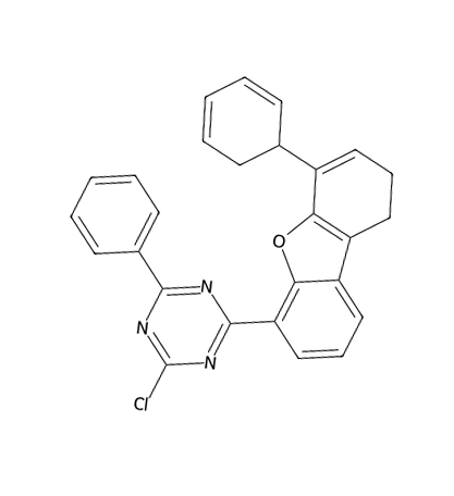 Clc1nc(-c2ccccc2)nc(-c2cccc3c4c(oc23)C(C2C=CC=CC2)=CCC4)n1